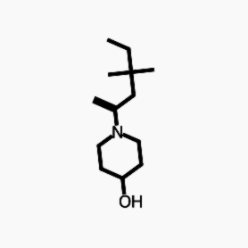 C=C(CC(C)(C)CC)N1CCC(O)CC1